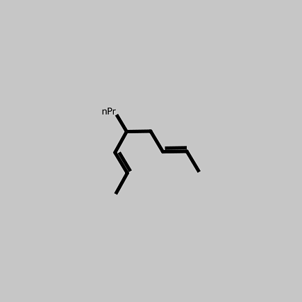 C[CH]CC(C=CC)CC=CC